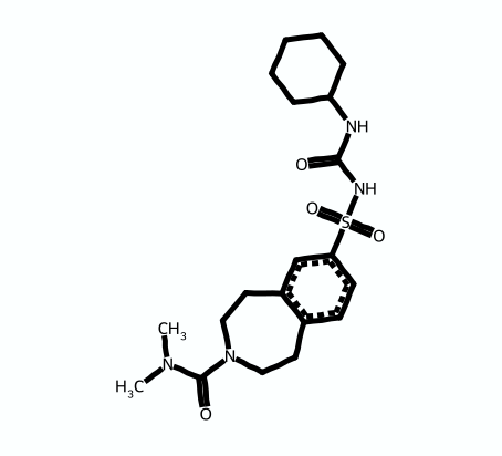 CN(C)C(=O)N1CCc2ccc(S(=O)(=O)NC(=O)NC3CCCCC3)cc2CC1